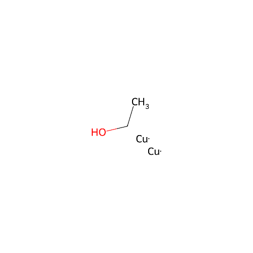 CCO.[Cu].[Cu]